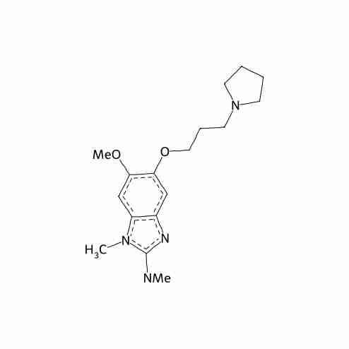 CNc1nc2cc(OCCCN3CCCC3)c(OC)cc2n1C